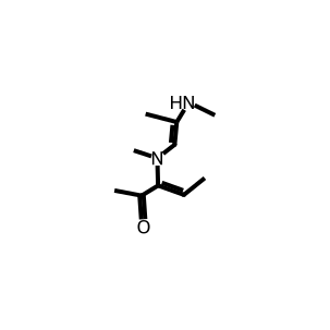 C/C=C(/C(C)=O)N(C)/C=C(\C)NC